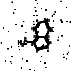 Cc1cccc2nncnc12